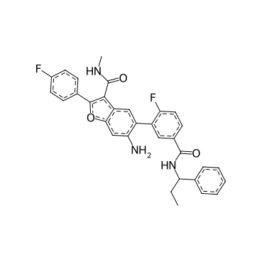 CCC(NC(=O)c1ccc(F)c(-c2cc3c(C(=O)NC)c(-c4ccc(F)cc4)oc3cc2N)c1)c1ccccc1